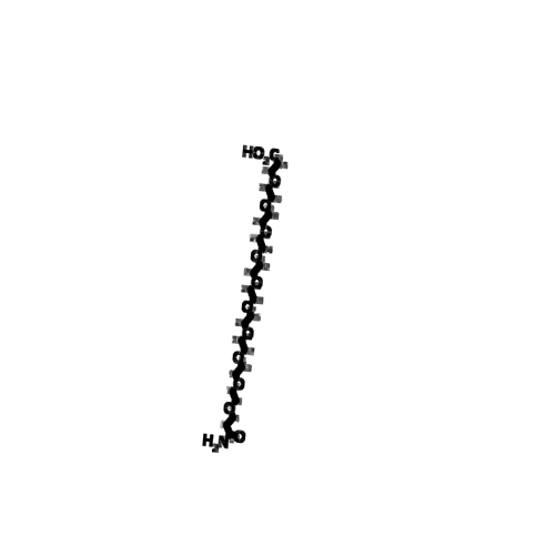 NC(=O)CCOCCOCCOCCOCCOCCOCCOCCOCCOCCOCCC(=O)O